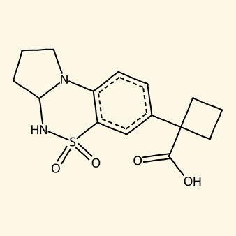 O=C(O)C1(c2ccc3c(c2)S(=O)(=O)NC2CCCN32)CCC1